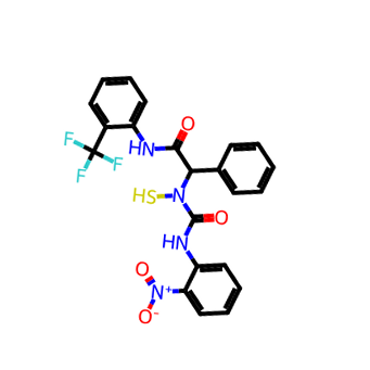 O=C(Nc1ccccc1C(F)(F)F)C(c1ccccc1)N(S)C(=O)Nc1ccccc1[N+](=O)[O-]